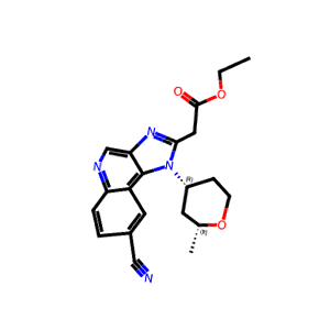 CCOC(=O)Cc1nc2cnc3ccc(C#N)cc3c2n1[C@@H]1CCO[C@H](C)C1